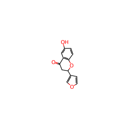 O=C1CC(c2ccoc2)Oc2ccc(O)cc21